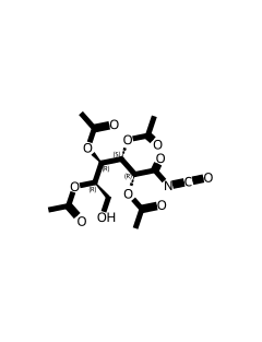 CC(=O)O[C@@H]([C@H](OC(C)=O)[C@@H](OC(C)=O)C(=O)N=C=O)[C@@H](CO)OC(C)=O